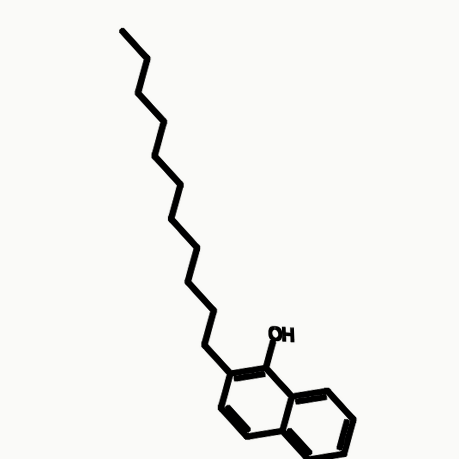 CCCCCCCCCCCc1ccc2ccccc2c1O